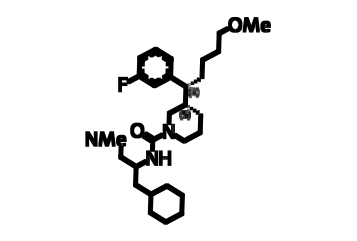 CNCC(CC1CCCCC1)NC(=O)N1CCC[C@@H]([C@@H](CCCCOC)c2cccc(F)c2)C1